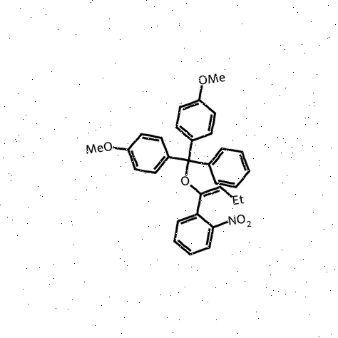 CCC=C(OC(c1ccccc1)(c1ccc(OC)cc1)c1ccc(OC)cc1)c1ccccc1[N+](=O)[O-]